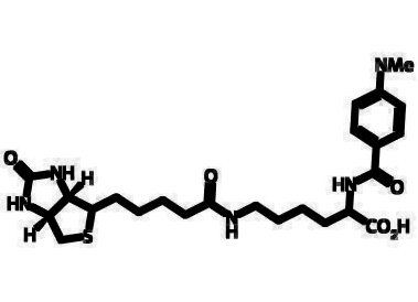 CNc1ccc(C(=O)NC(CCCCNC(=O)CCCCC2SC[C@@H]3NC(=O)N[C@H]23)C(=O)O)cc1